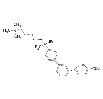 CC(C)C(CCCCC[N+](C)(C)C)(c1ccc(-c2cccc(-c3ccc(C(C)(C)C)cc3)c2)cc1)C(F)(F)F